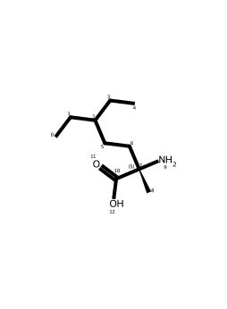 CCC(CC)CC[C@](C)(N)C(=O)O